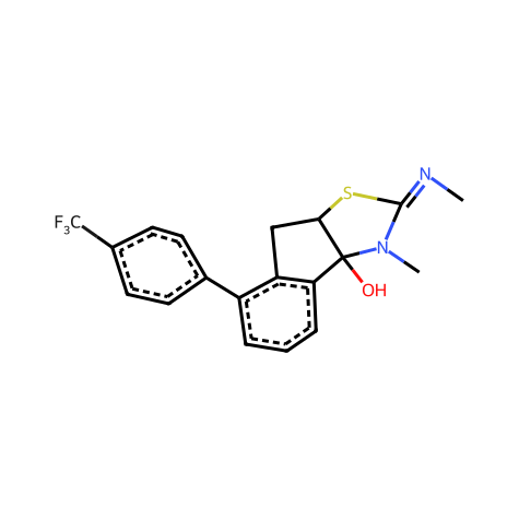 CN=C1SC2Cc3c(-c4ccc(C(F)(F)F)cc4)cccc3C2(O)N1C